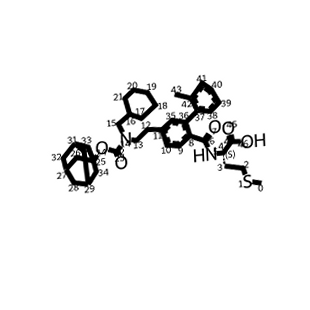 CSCC[C@H](NC(=O)c1ccc(CCN(CC2CCCCC2)C(=O)OC23CC4CC(CC(C4)C2)C3)cc1-c1ccccc1C)C(=O)O